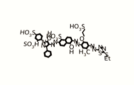 CCSc1nnc(N=Nc2cc(OCCCS(=O)(=O)O)c(N=Nc3ccc4c(S(=O)(=O)O)c(N=Nc5c(-c6ccccc6)nn(-c6ccc(S(=O)(=O)O)cc6S(=O)(=O)O)c5O)ccc4c3O)cc2C)s1